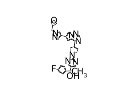 C[C@](O)(c1ccc(F)cc1)c1cnc(N2CC=C(c3ncnn4cc(-c5cnn(CC6COC6)c5)cc34)CC2)nc1